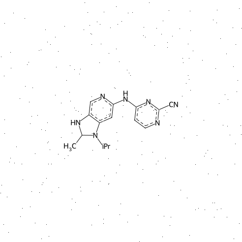 CC(C)N1c2cc(Nc3ccnc(C#N)n3)ncc2NC1C